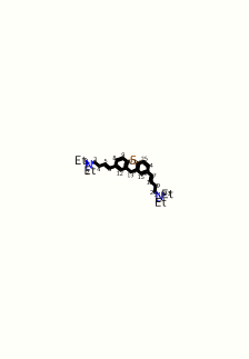 CCN(CC)CCC=Cc1ccc2c(c1)Cc1cc(C=CCCN(CC)CC)ccc1S2